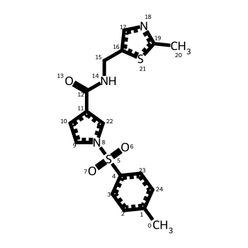 Cc1ccc(S(=O)(=O)n2ccc(C(=O)NCc3cnc(C)s3)c2)cc1